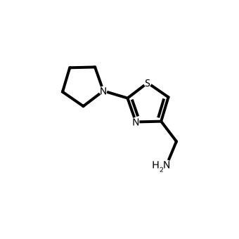 NCc1csc(N2CCCC2)n1